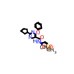 CC(/C=C\S(C)(=O)=O)NC(=O)c1cnc(C2CCCC2)nc1Oc1ccccc1